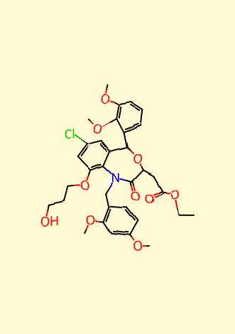 CCOC(=O)CC1OC(c2cccc(OC)c2OC)c2cc(Cl)cc(OCCCO)c2N(Cc2ccc(OC)cc2OC)C1=O